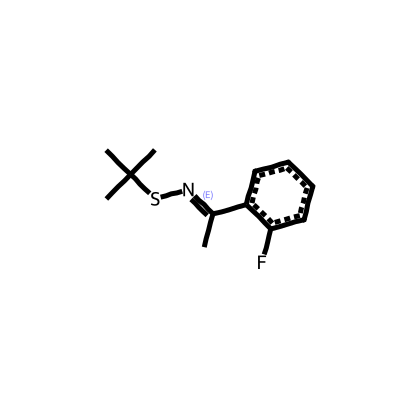 C/C(=N\SC(C)(C)C)c1ccccc1F